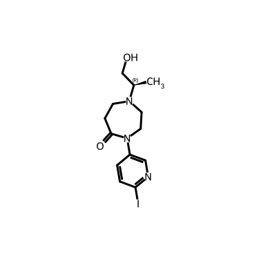 C[C@H](CO)N1CCC(=O)N(c2ccc(I)nc2)CC1